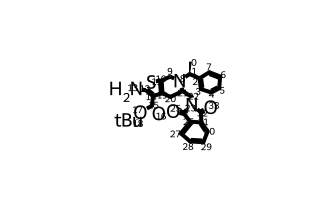 C[C@@H](c1ccccc1)N1Cc2sc(N)c(C(=O)OC(C)(C)C)c2CC1CN1C(=O)c2ccccc2C1=O